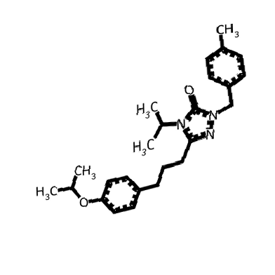 Cc1ccc(Cn2nc(CCCc3ccc(OC(C)C)cc3)n(C(C)C)c2=O)cc1